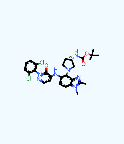 Cc1nc2c(N3CC[C@H](NC(=O)OC(C)(C)C)C3)c(Nc3ccnn(-c4c(Cl)cccc4Cl)c3=O)ccc2n1C